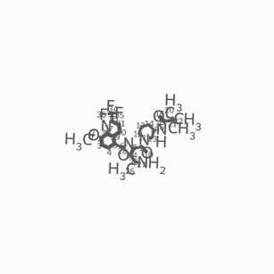 COc1ccc(-c2nc(C(=O)N3CCC[C@H](NC(=O)C(C)(C)C)C3)c([C@H](C)N)o2)c2ccc(C(F)(F)F)nc12